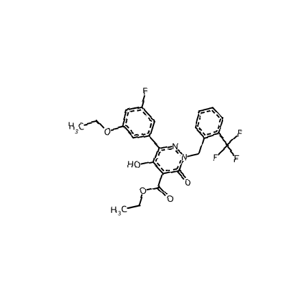 CCOC(=O)c1c(O)c(-c2cc(F)cc(OCC)c2)nn(Cc2ccccc2C(F)(F)F)c1=O